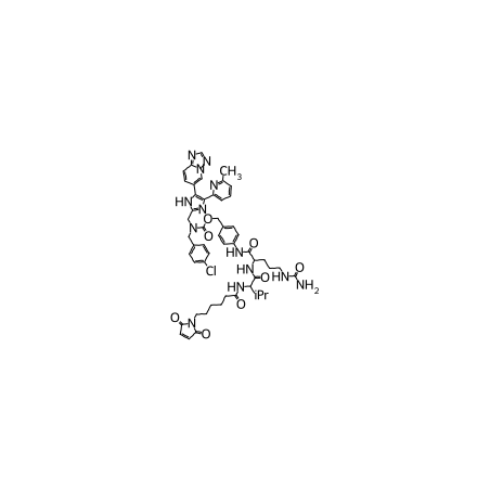 Cc1cccc(-c2nc(CN(Cc3ccc(Cl)cc3)C(=O)OCc3ccc(NC(=O)C(CCCNC(N)=O)NC(=O)C(NC(=O)CCCCCN4C(=O)C=CC4=O)C(C)C)cc3)[nH]c2-c2ccc3ncnn3c2)n1